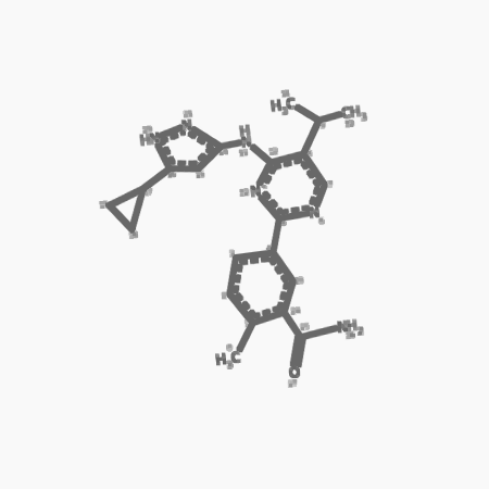 Cc1ccc(-c2ncc(C(C)C)c(Nc3cc(C4CC4)[nH]n3)n2)cc1C(N)=O